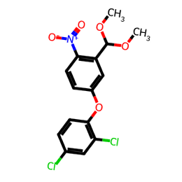 COC(OC)c1cc(Oc2ccc(Cl)cc2Cl)ccc1[N+](=O)[O-]